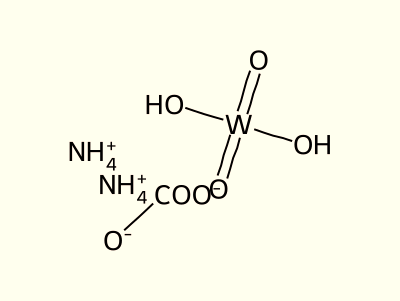 O=C([O-])[O-].[NH4+].[NH4+].[O]=[W](=[O])([OH])[OH]